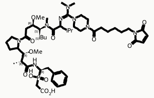 CC[C@H](C)[C@@H]([C@@H](CC(=O)N1CCCC1[C@H](OC)[C@@H](C)C(=O)N[C@@H](Cc1ccccc1)P(=O)(O)CC(=O)O)OC)N(C)C(=O)C(N=C(N(C)C)N1CCN(C(=O)CCCCCN2C(=O)C=CC2=O)CC1)C(C)C